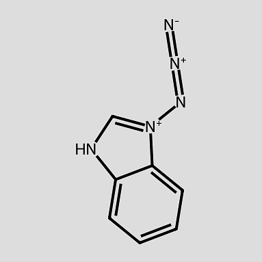 [N-]=[N+]=N[n+]1c[nH]c2ccccc21